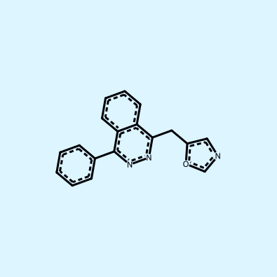 c1ccc(-c2nnc(Cc3cnco3)c3ccccc23)cc1